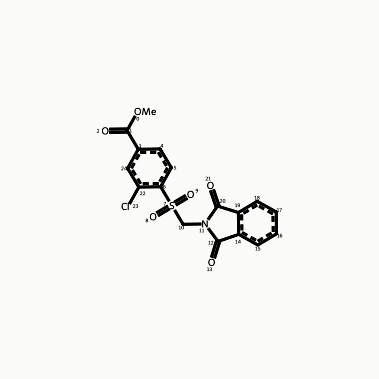 COC(=O)c1ccc(S(=O)(=O)CN2C(=O)c3ccccc3C2=O)c(Cl)c1